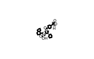 C[C@H](c1cccc2ccccc12)N(C[C@H]1CN(C(=O)c2ccc(-c3nc(=O)o[nH]3)cc2)C[C@@H]1c1ccccc1)C(=O)O